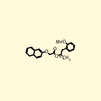 COc1ccccc1C[C@@H](C)OC(=O)COC1=CC2=CC=CCC2C=C1